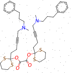 CN(CC#CCCC1(OC(=O)C(=O)OC2(CCC#CCN(C)CCCc3ccccc3)SCCCS2)SCCCS1)CCCc1ccccc1